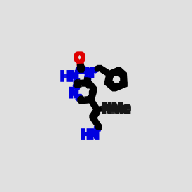 CN/C(=C\C=N)c1cnc2[nH]c(=O)n(Cc3ccccc3)c2c1